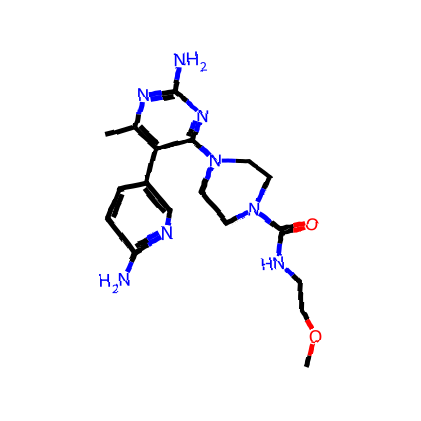 COCCNC(=O)N1CCN(c2nc(N)nc(C)c2-c2ccc(N)nc2)CC1